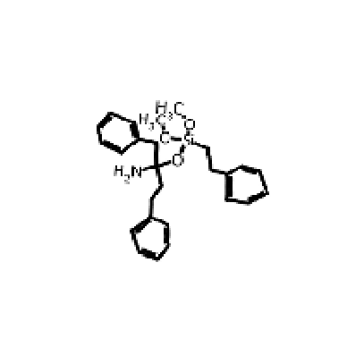 CO[Si](CCc1ccccc1)(OC)OC(N)(CCc1ccccc1)Cc1ccccc1